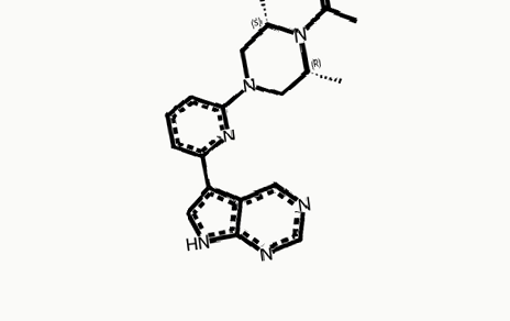 C=C(C)N1[C@H](C)CN(c2cccc(-c3c[nH]c4ncncc34)n2)C[C@@H]1C